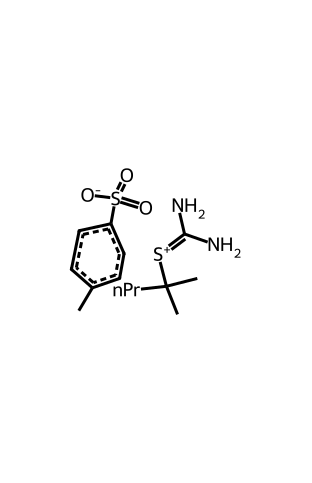 CCCC(C)(C)[S+]=C(N)N.Cc1ccc(S(=O)(=O)[O-])cc1